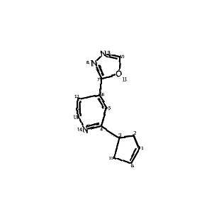 C1=CCC(c2cc(-c3nnco3)ccn2)C1